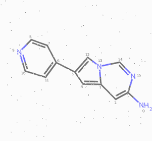 Nc1cc2cc(-c3ccncc3)cn2cn1